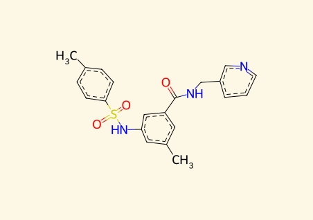 Cc1ccc(S(=O)(=O)Nc2cc(C)cc(C(=O)NCc3cccnc3)c2)cc1